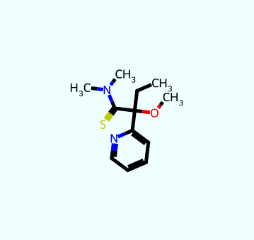 CCC(OC)(C(=S)N(C)C)c1ccccn1